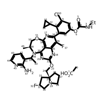 CC(=O)O.CCNC(=O)Oc1cc(Cl)c(C2CC2)c(-c2nc3c4c(nc(OC[C@@]56CCCN5C[C@H](F)C6)nc4c2F)N(C(C)c2cccnc2N)[C@@H](C)CO3)c1